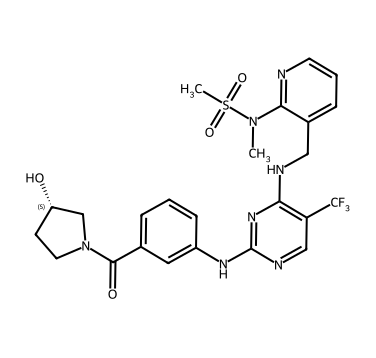 CN(c1ncccc1CNc1nc(Nc2cccc(C(=O)N3CC[C@H](O)C3)c2)ncc1C(F)(F)F)S(C)(=O)=O